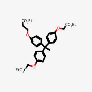 CCOC(=O)CCOc1ccc(C(C)(c2ccc(OCC(=O)OCC)cc2)c2ccc(OCC(=O)OCC)cc2)cc1